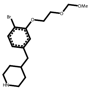 COCOCCOc1cc(CC2CCNCC2)ccc1Br